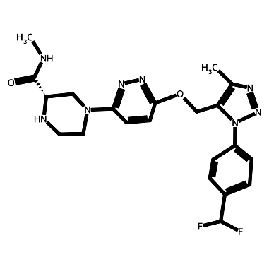 CNC(=O)[C@@H]1CN(c2ccc(OCc3c(C)nnn3-c3ccc(C(F)F)cc3)nn2)CCN1